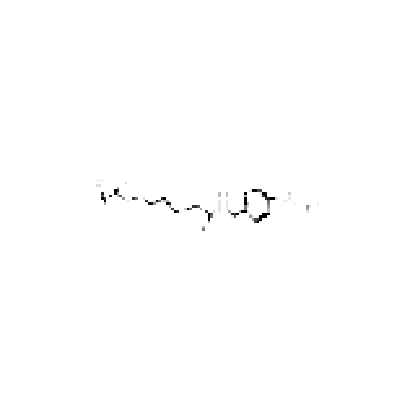 COc1ccc(CNC(=O)CCCCCCC(=O)C(F)(F)F)cc1